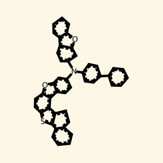 c1ccc(-c2ccc(N(c3ccc4c(c3)oc3ccccc34)c3ccc4c(c3)oc3ccc5sc6c7ccccc7ccc6c5c34)cc2)cc1